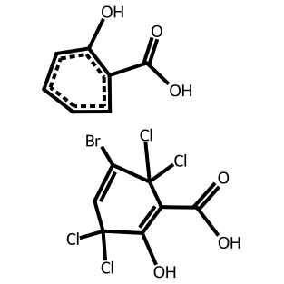 O=C(O)C1=C(O)C(Cl)(Cl)C=C(Br)C1(Cl)Cl.O=C(O)c1ccccc1O